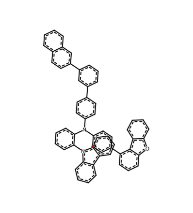 c1cc(-c2ccc(N(c3ccc(-c4cccc5oc6ccccc6c45)cc3)c3ccccc3-n3c4ccccc4c4ccccc43)cc2)cc(-c2ccc3ccccc3c2)c1